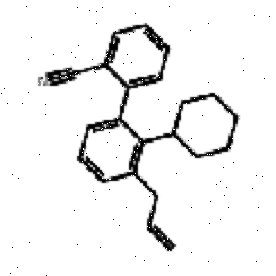 C=CCc1cccc(-c2ccccc2C#N)c1C1CCCCC1